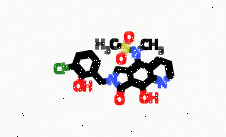 CN(c1c2c(c(O)c3ncccc13)C(=O)N(Cc1cccc(Cl)c1O)C2)S(C)(=O)=O